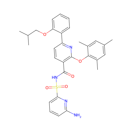 Cc1cc(C)c(Oc2nc(-c3ccccc3OCC(C)C)ccc2C(=O)NS(=O)(=O)c2cccc(N)n2)c(C)c1